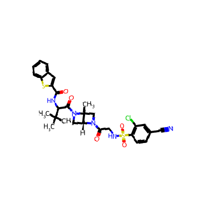 CC(C)(C)C(NC(=O)c1cc2ccccc2s1)C(=O)N1C[C@H]2N(C(=O)CNS(=O)(=O)c3ccc(C#N)cc3Cl)CC21C